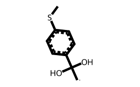 [CH2]C(O)(O)c1ccc(SC)cc1